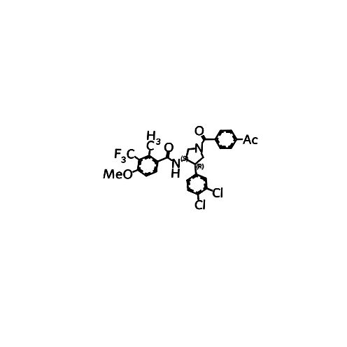 COc1ccc(C(=O)N[C@@H]2CN(C(=O)c3ccc(C(C)=O)cc3)C[C@H]2c2ccc(Cl)c(Cl)c2)c(C)c1C(F)(F)F